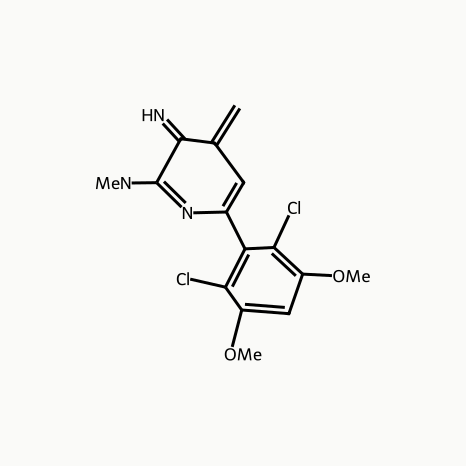 C=C1C=C(c2c(Cl)c(OC)cc(OC)c2Cl)N=C(NC)C1=N